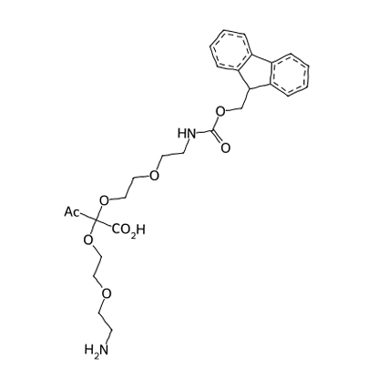 CC(=O)C(OCCOCCN)(OCCOCCNC(=O)OCC1c2ccccc2-c2ccccc21)C(=O)O